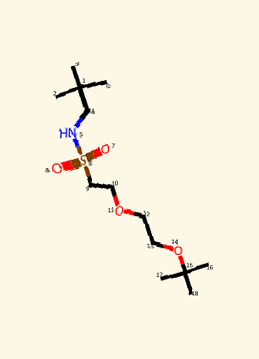 CC(C)(C)CNS(=O)(=O)CCOCCOC(C)(C)C